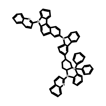 c1ccc([Si]2(c3ccccc3)c3ccccc3N(c3ccc4ccccc4n3)C3CCC(c4ccc5c(c4)c4ccccc4n5-c4ccc5c(ccc6c5c5ccccc5n6-c5ccc6ccccc6n5)c4)CC32)cc1